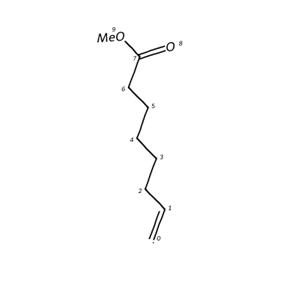 [CH]=CCCCCCC(=O)OC